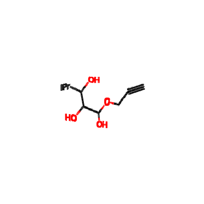 C#CCOC(O)C(O)C(O)C(C)C